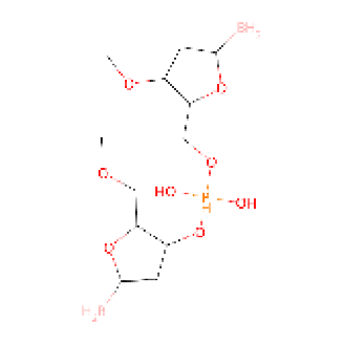 BC1CC(OC)C(CO[PH](O)(O)OC2CC(B)OC2COC)O1